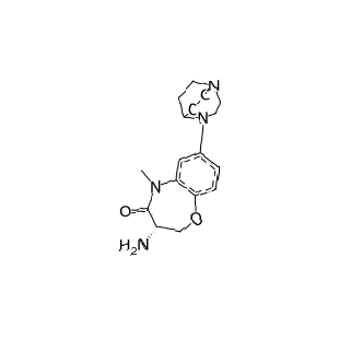 CN1C(=O)[C@@H](N)COc2ccc(N3CCN4CCC3CC4)cc21